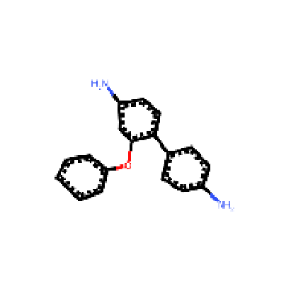 Nc1ccc(-c2ccc(N)cc2Oc2ccccc2)cc1